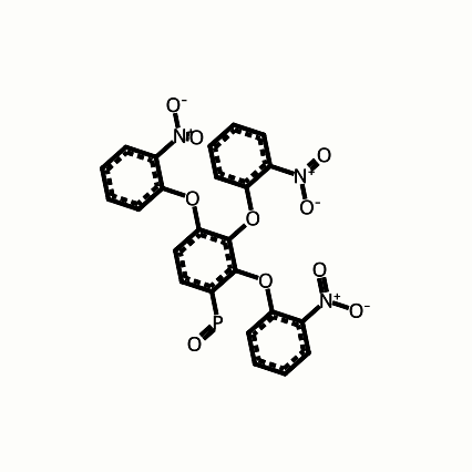 O=Pc1ccc(Oc2ccccc2[N+](=O)[O-])c(Oc2ccccc2[N+](=O)[O-])c1Oc1ccccc1[N+](=O)[O-]